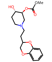 COC(=O)O[C@H]1CN(CCC2COc3ccccc3O2)CC[C@@H]1O